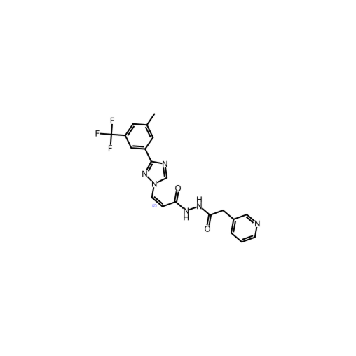 Cc1cc(-c2ncn(/C=C\C(=O)NNC(=O)Cc3cccnc3)n2)cc(C(F)(F)F)c1